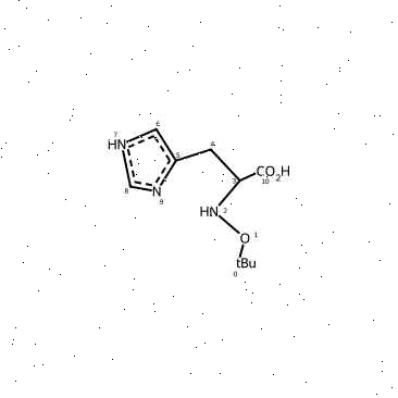 CC(C)(C)ONC(Cc1c[nH]cn1)C(=O)O